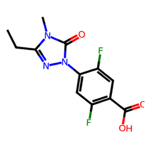 CCc1nn(-c2cc(F)c(C(=O)O)cc2F)c(=O)n1C